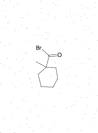 CC1(C(=O)Br)CCCCC1